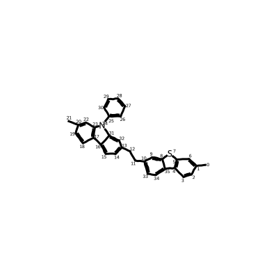 Cc1ccc2c(c1)sc1cc(CCc3ccc4c5ccc(C)cc5n(-c5ccccc5)c4c3)ccc12